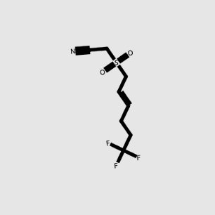 N#CCS(=O)(=O)CC=CCCC(F)(F)F